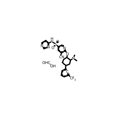 CN(C)C1CC(c2cccc(C(F)(F)F)c2)CCC1Oc1ncc(S(=O)(=O)Nc2ccncn2)cc1C#N.O=CO